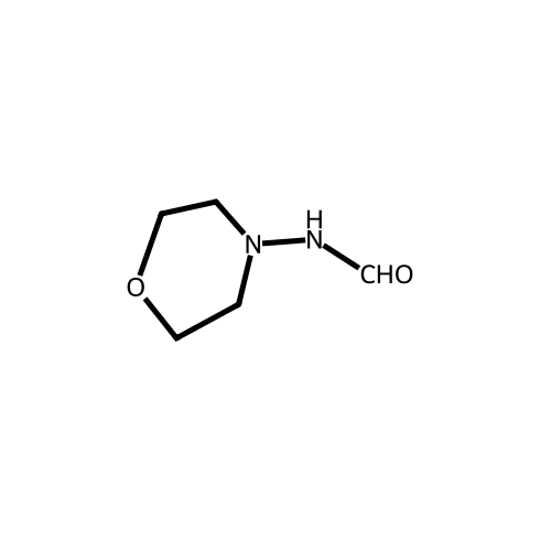 O=CNN1CCOCC1